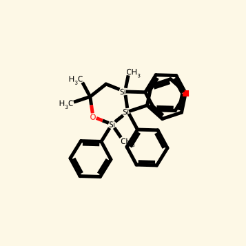 CC1(C)C[Si](C)(c2ccccc2)[Si](c2ccccc2)(c2ccccc2)[Si](C)(c2ccccc2)O1